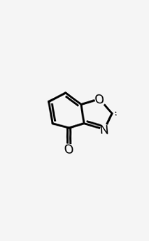 O=C1C=CC=C2O[C]N=C12